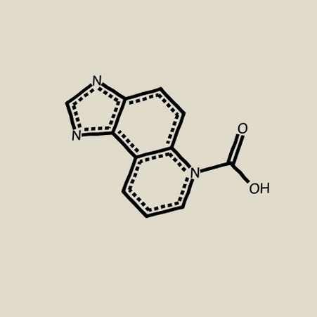 O=C(O)n1cccc2c3ncnc3ccc21